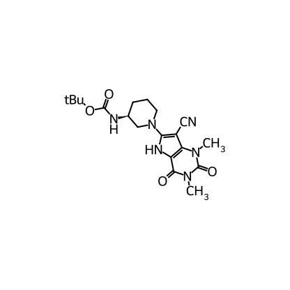 Cn1c(=O)c2[nH]c(N3CCC[C@H](NC(=O)OC(C)(C)C)C3)c(C#N)c2n(C)c1=O